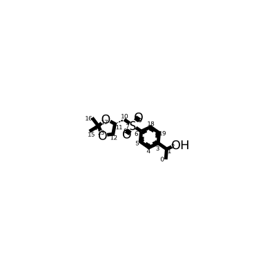 CC(O)c1ccc(S(=O)(=O)C[C@@H]2COC(C)(C)O2)cc1